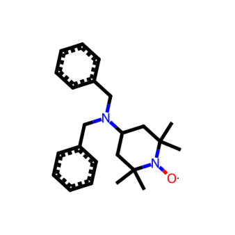 CC1(C)CC(N(Cc2ccccc2)Cc2ccccc2)CC(C)(C)N1[O]